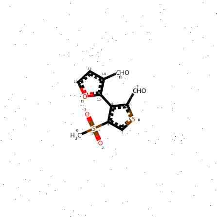 CS(=O)(=O)c1csc(C=O)c1-c1occc1C=O